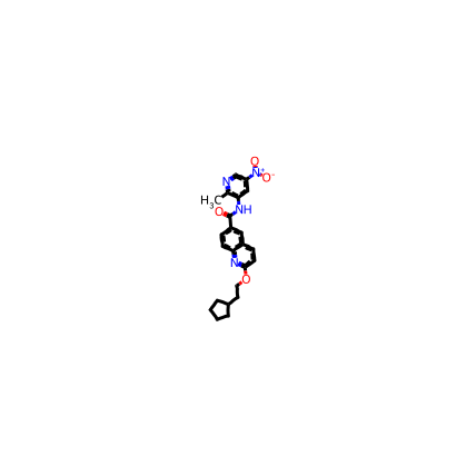 Cc1ncc([N+](=O)[O-])cc1NC(=O)c1ccc2nc(OCCC3CCCC3)ccc2c1